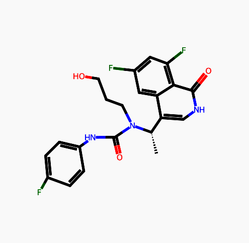 C[C@@H](c1c[nH]c(=O)c2c(F)cc(F)cc12)N(CCCO)C(=O)Nc1ccc(F)cc1